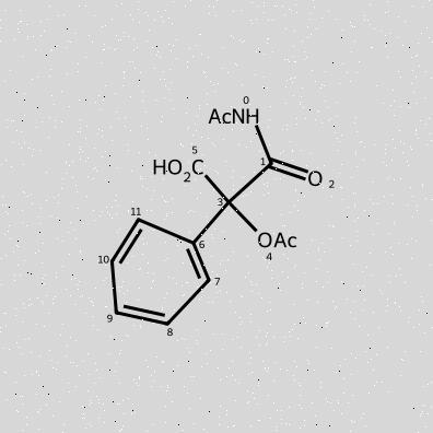 CC(=O)NC(=O)C(OC(C)=O)(C(=O)O)c1ccccc1